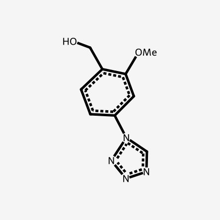 COc1cc(-n2cnnn2)ccc1CO